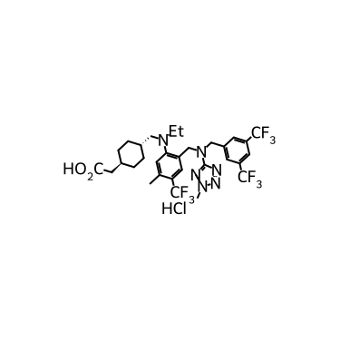 CCN(C[C@H]1CC[C@H](CC(=O)O)CC1)c1cc(C)c(C(F)(F)F)cc1CN(Cc1cc(C(F)(F)F)cc(C(F)(F)F)c1)c1nnn(C)n1.Cl